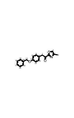 Cc1csc(C(=O)Cc2ccc(OCc3ccccc3)cc2)n1